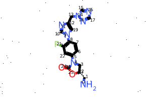 NC[C@H]1CN(c2ccc(-n3cnc(Cn4cncn4)c3)c(F)c2)C(=O)O1